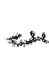 Cc1ncsc1-c1ccc(CN(C=O)[C@@H]2C[C@@H](O)CN2C(=O)[C@@H](NC(=O)CCC(=O)N2CCC(CNc3ccc(S(=O)(=O)NC(=O)c4ccc(N5CCN(CC6=C(c7ccc(Cl)cc7)CC(C)(C)CC6)CC5)cc4Oc4cnc5[nH]ccc5c4)cc3[N+](=O)[O-])CC2)C(C)(C)C)cc1